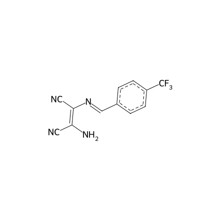 N#CC(N)=C(C#N)N=Cc1ccc(C(F)(F)F)cc1